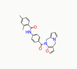 Cc1ccc(C(=O)Nc2ccc(C(=O)N3Cc4cccn4Cc4ccoc43)cc2)c(C)c1